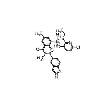 CCSc1nc(Cl)ccc1N[C@H](C)c1cc(C)cc2c(=O)c(C)c(-c3ccc4n[nH]cc4c3)oc12